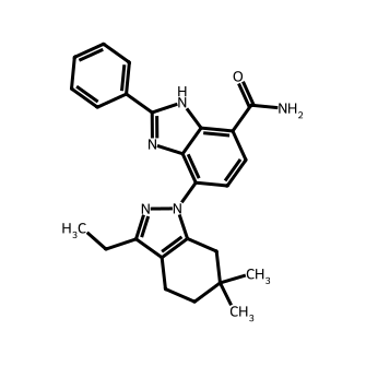 CCc1nn(-c2ccc(C(N)=O)c3[nH]c(-c4ccccc4)nc23)c2c1CCC(C)(C)C2